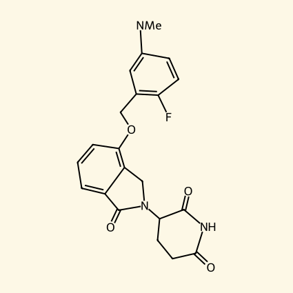 CNc1ccc(F)c(COc2cccc3c2CN(C2CCC(=O)NC2=O)C3=O)c1